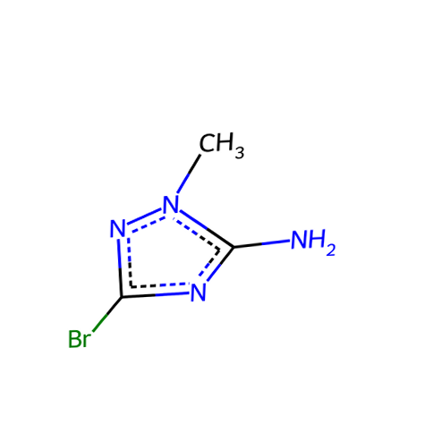 Cn1nc(Br)nc1N